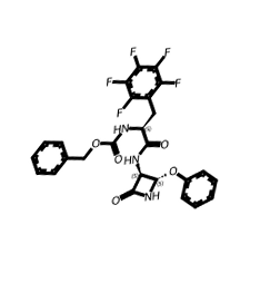 O=C(N[C@@H](Cc1c(F)c(F)c(F)c(F)c1F)C(=O)N[C@@H]1C(=O)N[C@H]1Oc1ccccc1)OCc1ccccc1